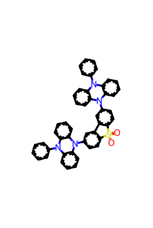 O=S1(=O)c2ccc(N3c4ccccc4N(c4ccccc4)c4ccccc43)cc2-c2cc(N3c4ccccc4N(c4ccccc4)c4ccccc43)ccc21